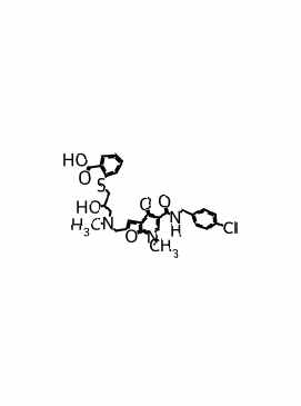 CN(Cc1cc2c(=O)c(C(=O)NCc3ccc(Cl)cc3)cn(C)c2o1)CC(O)CSc1ccccc1C(=O)O